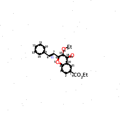 CCOC(=O)c1ccc2oc(/C=C/c3ccccc3)c(OCC)c(=O)c2c1